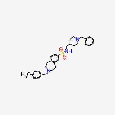 Cc1ccc(CN2CCc3ccc(S(=O)(=O)NCC4CCN(Cc5ccccc5)CC4)cc3CC2)cc1